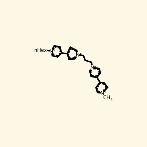 CCCCCC[n+]1ccc(-c2cc[n+](CCC[n+]3ccc(-c4cc[n+](C)cc4)cc3)cc2)cc1